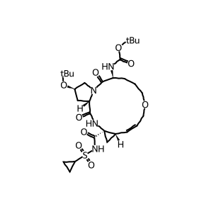 CC(C)(C)OC(=O)N[C@H]1CCCOC/C=C\[C@@H]2C[C@@]2(C(=O)NS(=O)(=O)C2CC2)NC(=O)[C@@H]2C[C@@H](OC(C)(C)C)CN2C1=O